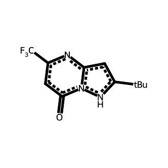 CC(C)(C)c1cc2nc(C(F)(F)F)cc(=O)n2[nH]1